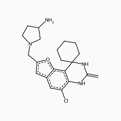 C=C1Nc2c(Cl)cc3cc(CN4CCC(N)C4)oc3c2C2(CCCCC2)N1